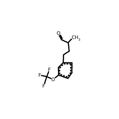 CC(C=O)CCc1cccc(OC(F)(F)F)c1